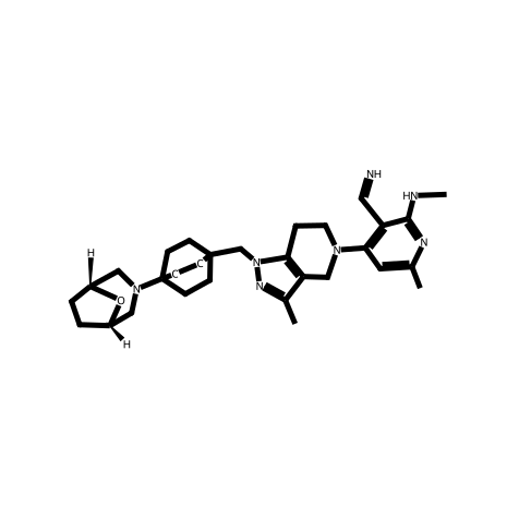 CNc1nc(C)cc(N2CCc3c(c(C)nn3CC34CCC(N5C[C@H]6CC[C@@H](C5)O6)(CC3)CC4)C2)c1C=N